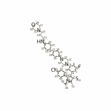 CSc1c(-c2cc(F)cc(N3CCN(c4ccc(-c5ccc(NCCCN6CCOCC6)cc5)cc4)CC3)c2)c(-c2ccc(Cl)cc2)n(C(C)C)c1C